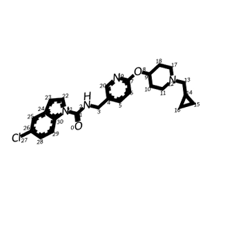 O=C(NCc1ccc(OC2CCN(CC3CC3)CC2)nc1)n1ccc2cc(Cl)ccc21